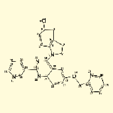 Clc1ccc2c(c1)CCN2c1nc(-c2cccnc2)nc2ccc(OCc3ccccn3)cc12